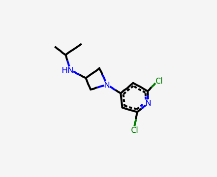 CC(C)NC1CN(c2cc(Cl)nc(Cl)c2)C1